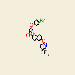 O=C(c1ccc2cc(Oc3ccc(C(F)(F)F)cn3)ccc2n1)N1CC(Oc2ccc(Br)cc2)C1